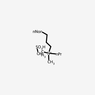 CCCCCCCCCCCC[N+](C)(C)CCC.O=S(=O)(O)O